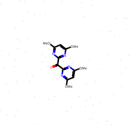 COc1cc(OC)nc(C(=O)c2nc(OC)cc(OC)n2)n1